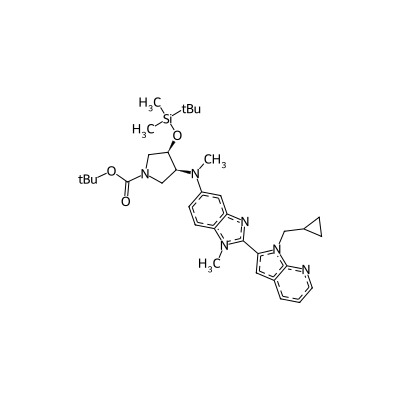 CN(c1ccc2c(c1)nc(-c1cc3cccnc3n1CC1CC1)n2C)[C@H]1CN(C(=O)OC(C)(C)C)C[C@H]1O[Si](C)(C)C(C)(C)C